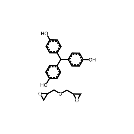 C(OCC1CO1)C1CO1.Oc1ccc(C(c2ccc(O)cc2)c2ccc(O)cc2)cc1